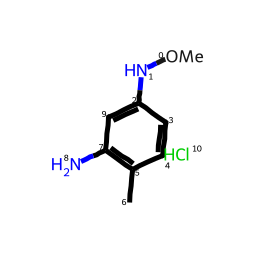 CONc1ccc(C)c(N)c1.Cl